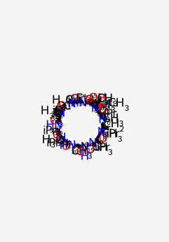 C=C1C(CC(C)C)N(C)C(=O)C(CC(C)C)N(C)C(=O)NC(=O)C(C)NC(=O)C(CC(C)C)N(C)C(=O)C(C(C)C)NC(=O)C(CC(C)C)N(C)C(=O)CN(C)C(=O)C(CC)NC(=O)C([C@H](O)C(C)C/C=C/C)N(C)C(=O)C(C(C)C)N1C